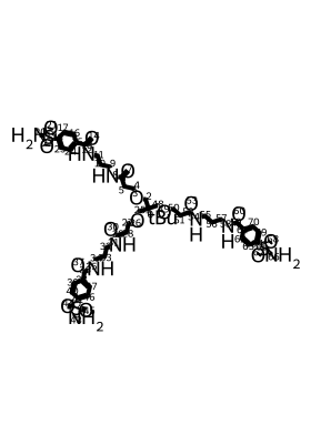 CC(C)(C)C(COCCC(=O)NCCCNC(=O)c1ccc(S(N)(=O)=O)cc1)(COCCC(=O)NCCCNC(=O)c1ccc(S(N)(=O)=O)cc1)COCCC(=O)NCCCNC(=O)c1ccc(S(N)(=O)=O)cc1